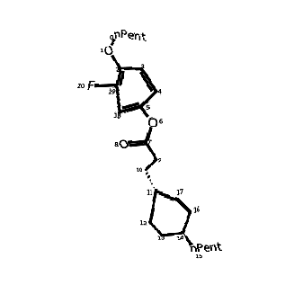 CCCCCOc1ccc(OC(=O)CC[C@H]2CC[C@H](CCCCC)CC2)cc1F